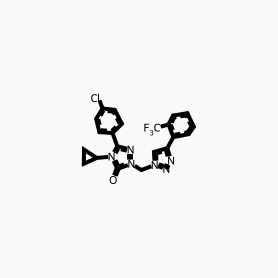 O=c1n(Cn2cc(-c3ccccc3C(F)(F)F)nn2)nc(-c2ccc(Cl)cc2)n1C1CC1